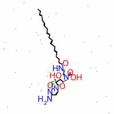 CCC=CCC=CCC=CCC=CCC=CCCCC(=O)NCCN(C[C@H]1O[C@@H](n2ccc(N)nc2=O)[C@](C)(F)[C@@H]1O)C(=O)O